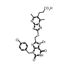 CCn1c(CSc2nc3nc(C)c(CCC(=O)O)c(C)n3n2)nc2c1c(=O)[nH]c(=O)n2Cc1ccc(Cl)cc1